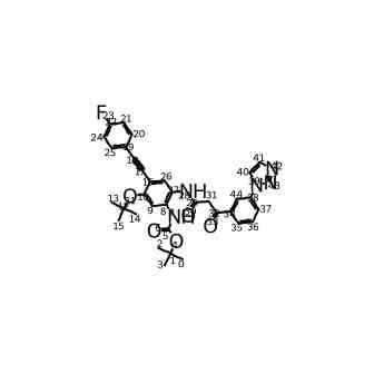 CC(C)(C)OC(=O)Nc1cc(OC(C)(C)C)c(C#Cc2ccc(F)cc2)cc1NC(=O)CC(=O)c1cccc(-n2ccnn2)c1